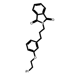 CC(C)CCOc1cccc(CCCN2C(=O)c3ccccc3C2=O)c1